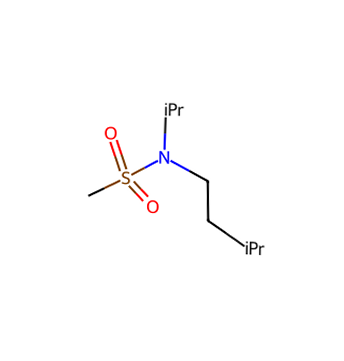 CC(C)CCN(C(C)C)S(C)(=O)=O